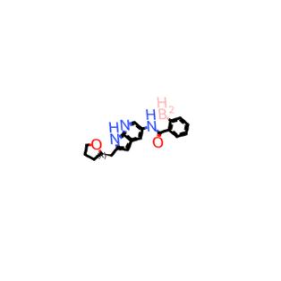 Bc1ccccc1C(=O)Nc1cnc2[nH]c(C[C@H]3CCCO3)cc2c1